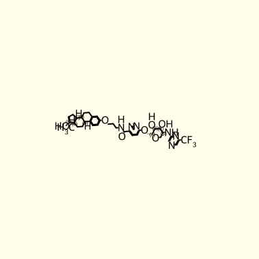 C[C@]12CC[C@@H]3c4ccc(OCCCNC(=O)c5ccc(OC[C@H]6OC[C@H](Nc7cncc(C(F)(F)F)n7)[C@@H](O)[C@H]6O)nn5)cc4CC[C@H]3[C@@H]1CC[C@@H]2O